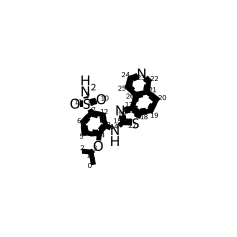 CC(C)Oc1ccc(S(N)(=O)=O)cc1Nc1nc2c(ccc3cnccc32)s1